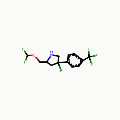 FC(F)OCC1CC(F)(c2ccc(C(F)(F)F)cc2)CN1